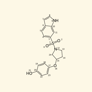 O=S(=O)(c1ccc2cc[nH]c2c1)N1CCC(Oc2ccc(O)cc2)C1